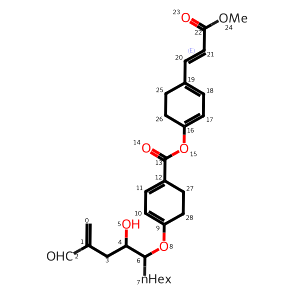 C=C(C=O)CC(O)C(CCCCCC)OC1=CC=C(C(=O)OC2=CC=C(/C=C/C(=O)OC)CC2)CC1